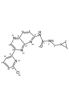 O=C(NCC1CC1)Nc1ccc2ncc(-c3cccc(Cl)n3)nc2n1